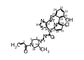 C=CC(=O)N1CCN(/C=N/C(=O)N(c2ccc(Cl)c(-c3c(O)cccc3F)n2)c2scnc2C(C)C)[C@@H](C)C1